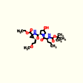 CCC[C@H](NC(=O)OC(C)(C)C)C(=O)N1C[C@H](O)C[C@H]1C(=O)N[C@]1(C(=O)OCC)C[C@H]1/C=C\COC